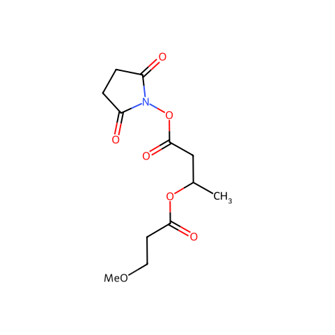 COCCC(=O)OC(C)CC(=O)ON1C(=O)CCC1=O